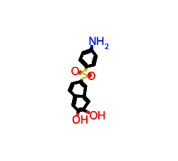 Nc1ccc(S(=O)(=O)c2ccc3cc(O)c(O)cc3c2)cc1